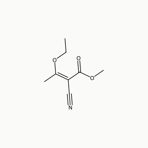 CCOC(C)=C(C#N)C(=O)OC